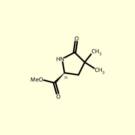 COC(=O)[C@@H]1CC(C)(C)C(=O)N1